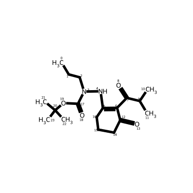 CCCN(NC1=C(C(=O)C(C)C)C(=O)CCC1)C(=O)OC(C)(C)C